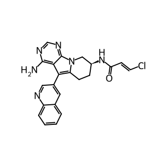 Nc1ncnc2c1c(-c1cnc3ccccc3c1)c1n2C[C@@H](NC(=O)C=CCl)CC1